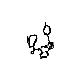 Cc1ccc(-c2ncc3n2CN(C(=O)c2cccnc2)c2ccccc2-3)cc1.Cl